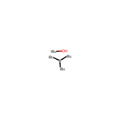 CC(C)(C)O.CCC(C)B(C(C)CC)C(C)CC